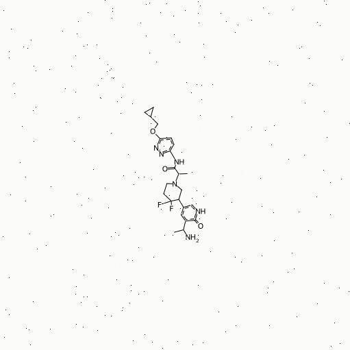 CC(N)c1cc(C2CN(C(C)C(=O)Nc3ccc(OCC4CC4)nn3)CCC2(F)F)c[nH]c1=O